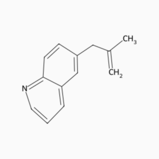 C=C(C)Cc1ccc2ncccc2c1